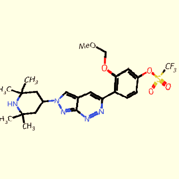 COCOc1cc(OS(=O)(=O)C(F)(F)F)ccc1-c1cc2cn(C3CC(C)(C)NC(C)(C)C3)nc2nn1